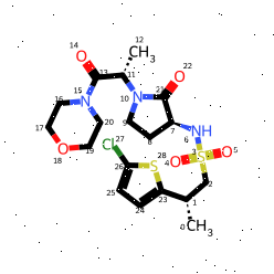 C[C@@H](CS(=O)(=O)N[C@H]1CCN([C@@H](C)C(=O)N2CCOCC2)C1=O)c1ccc(Cl)s1